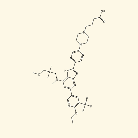 CCOc1ncc(-c2cc(N(C)CC(C)(C)COC)c3[nH]c(-c4cnc(N5CCN(CCCC(=O)O)CC5)cn4)nc3n2)cc1C(F)(F)F